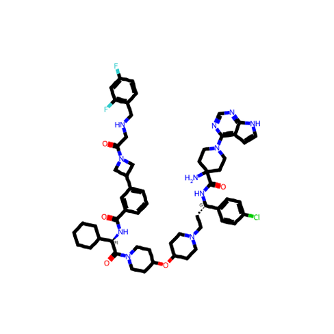 NC1(C(=O)N[C@@H](CCN2CCC(OC3CCN(C(=O)[C@H](NC(=O)c4cccc(C5CN(C(=O)CNCc6ccc(F)cc6F)C5)c4)C4CCCCC4)CC3)CC2)c2ccc(Cl)cc2)CCN(c2ncnc3[nH]ccc23)CC1